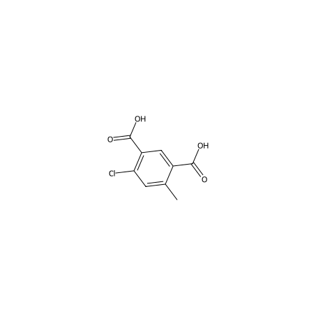 Cc1cc(Cl)c(C(=O)O)cc1C(=O)O